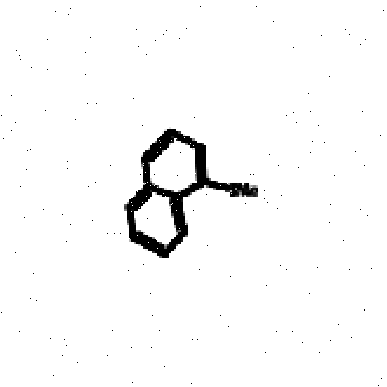 [CH]Sc1cccc2ccccc12